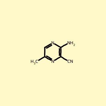 Cc1cnc(N)c(C#N)n1